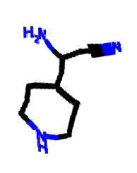 N#CC(N)C1CCNCC1